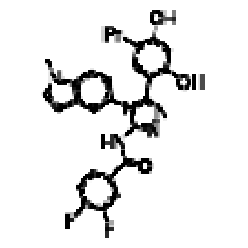 CC(C)c1cc(-c2nnc(NC(=O)c3ccc(F)c(F)c3)n2-c2ccc3c(ccn3C)c2)c(O)cc1O